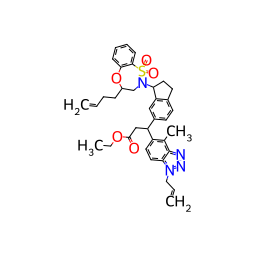 C=CCCC1CN(C2CCc3ccc(C(CC(=O)OCC)c4ccc5c(nnn5CC=C)c4C)cc32)S(=O)(=O)c2ccccc2O1